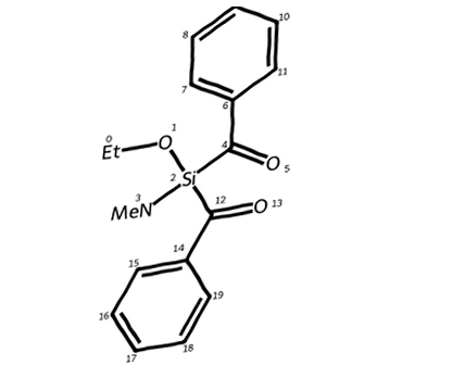 CCO[Si](NC)(C(=O)c1ccccc1)C(=O)c1ccccc1